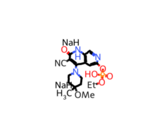 CCOP(=O)(O)Oc1cc2c(N3CCC(C)(OC)CC3)c(C#N)c(=O)[nH]c2cn1.[NaH].[NaH]